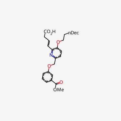 CCCCCCCCCCCCOc1ccc(COc2cccc(C(=O)OC)c2)nc1/C=C/CC(=O)O